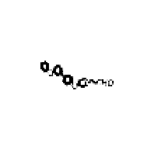 O=CCCN1CCC(Oc2ccc(-c3cccc(Oc4ccccc4)c3)cc2)CC1